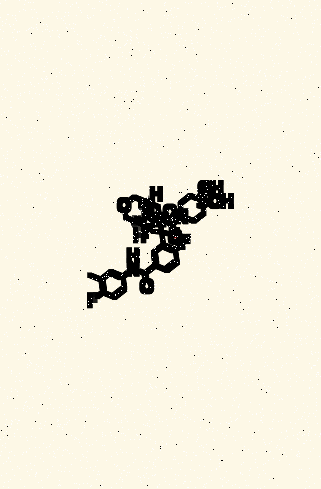 Cc1cc(NC(=O)c2ccc(F)c(C(F)(F)C(=O)N3[C@@H]4COC[C@H]3CN(C(=O)N3CCS(O)(O)CC3)C4)c2)ccc1F